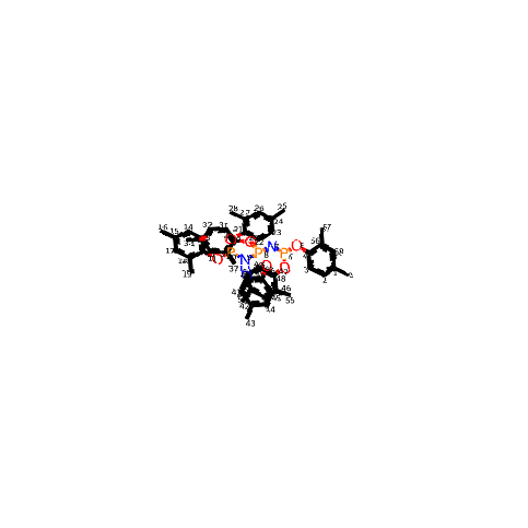 Cc1ccc(OP(N=P(NP(Oc2ccc(C)cc2C)Oc2ccc(C)cc2C)(Oc2ccc(C)cc2C)Oc2ccc(C)cc2C)Oc2ccc(C)cc2C)c(C)c1